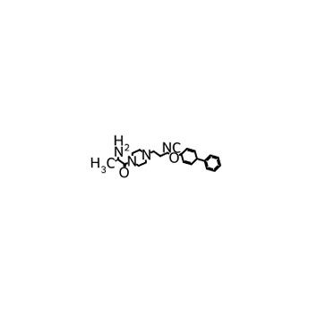 C[C@@H](N)C(=O)N1CCN(CCCOC2(C#N)C=CC(c3ccccc3)C=C2)CC1